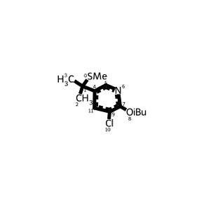 CSC(C)(C)c1cnc(OCC(C)C)c(Cl)c1